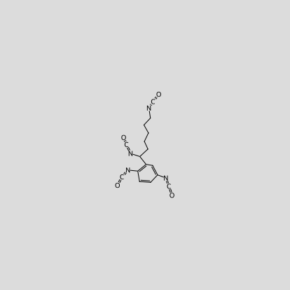 O=C=NCCCCCC(N=C=O)c1cc(N=C=O)ccc1N=C=O